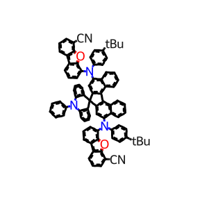 CC(C)(C)c1ccc(N(c2cc3c(c4ccccc24)-c2c(cc(N(c4ccc(C(C)(C)C)cc4)c4cccc5c4oc4c(C#N)cccc45)c4ccccc24)C32c3ccccc3N(c3ccccc3)c3ccccc32)c2cccc3c2oc2c(C#N)cccc23)cc1